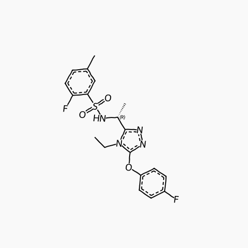 CCn1c(Oc2ccc(F)cc2)nnc1[C@@H](C)NS(=O)(=O)c1cc(C)ccc1F